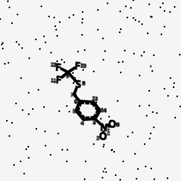 O=[N+]([O-])c1ccc(CSC(F)(F)F)cc1